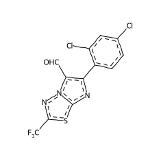 O=Cc1c(-c2ccc(Cl)cc2Cl)nc2sc(C(F)(F)F)nn12